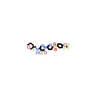 O=c1c(Cl)c(NCC2(F)CCCOC2)cnn1-c1ccc(S(=O)(=O)c2ccc(OC(F)(F)F)cc2)nc1